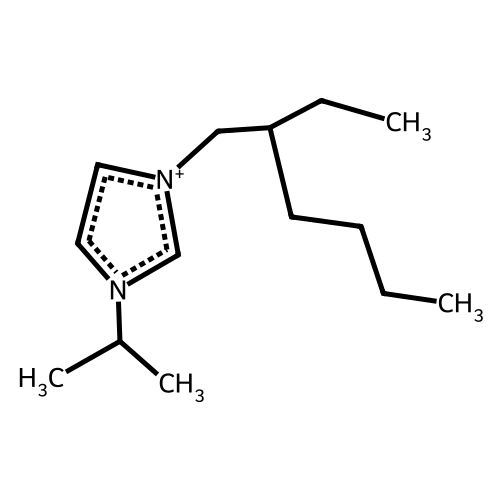 CCCCC(CC)C[n+]1ccn(C(C)C)c1